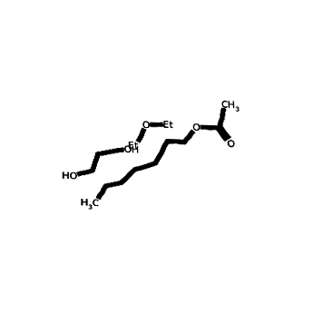 CCCCCCCOC(C)=O.CCOCC.OCCO